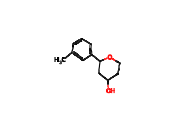 Cc1cccc(C2CC(O)CCO2)c1